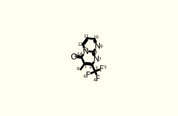 Cc1c(C(F)(F)F)nc2ncccn2c1=O